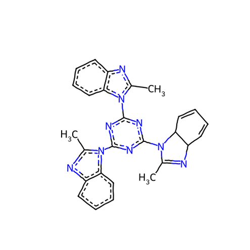 CC1=NC2C=CC=CC2N1c1nc(-n2c(C)nc3ccccc32)nc(-n2c(C)nc3ccccc32)n1